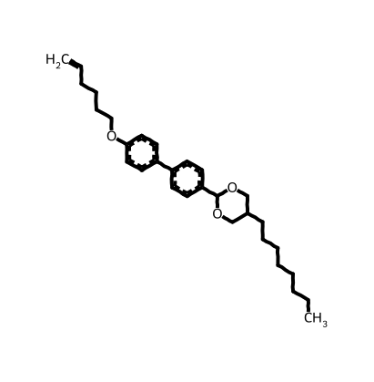 C=CCCCCOc1ccc(-c2ccc(C3OCC(CCCCCCCC)CO3)cc2)cc1